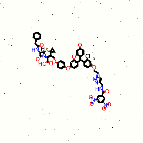 Cc1cc(OCCn2cc(CNC(=O)c3cc([N+](=O)[O-])cc([N+](=O)[O-])c3)nn2)ccc1-c1c2ccc(=O)cc-2oc2cc(Oc3ccc(OCC4=C(C(=O)O)N5C(=O)[C@@H](NC(=O)Cc6ccccc6)[C@H]5SC45CC5)cc3)ccc12